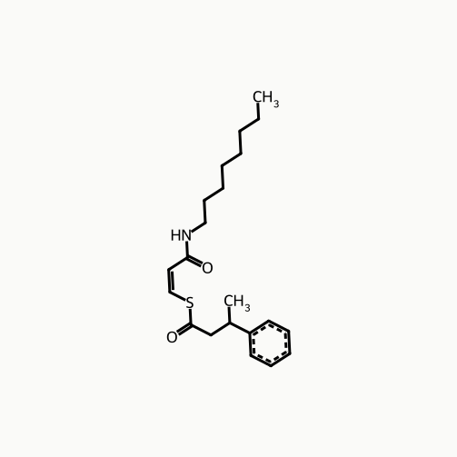 CCCCCCCCNC(=O)/C=C\SC(=O)CC(C)c1ccccc1